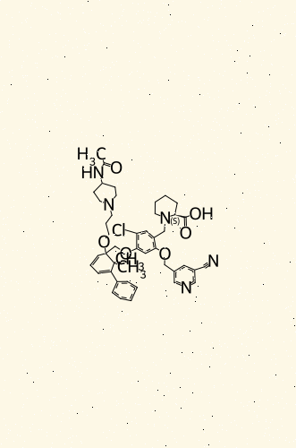 CC(=O)NC1CCN(CCCOC2(COc3cc(OCc4cncc(C#N)c4)c(CN4CCCC[C@H]4C(=O)O)cc3Cl)C=CC=C(c3ccccc3)C2(C)C)CC1